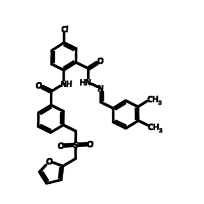 Cc1ccc(C=NNC(=O)c2cc(Cl)ccc2NC(=O)c2cccc(CS(=O)(=O)Cc3ccco3)c2)cc1C